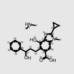 CNC.Cn1c(C2CC2)nc2c(O)c(CCC(O)c3ccccc3)c(C(=O)O)cc21